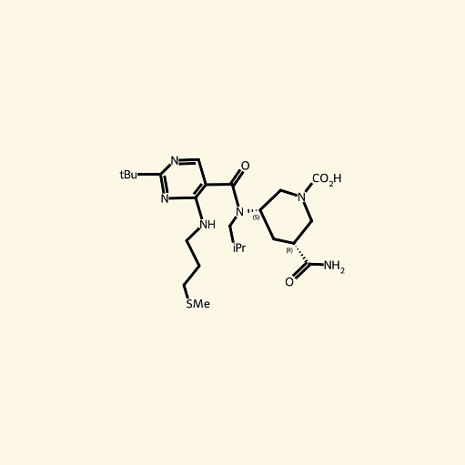 CSCCCNc1nc(C(C)(C)C)ncc1C(=O)N(CC(C)C)[C@H]1C[C@@H](C(N)=O)CN(C(=O)O)C1